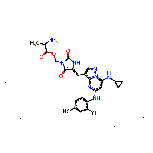 CC(N)C(=O)OCN1C(=O)N/C(=C\c2cnn3c(NC4CC4)cc(Nc4ccc(C#N)cc4Cl)nc23)C1=O